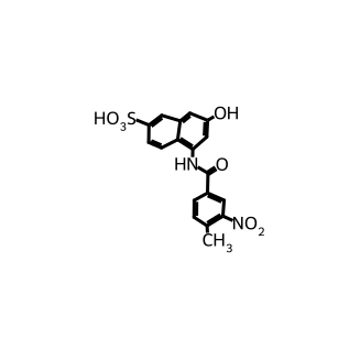 Cc1ccc(C(=O)Nc2cc(O)cc3cc(S(=O)(=O)O)ccc23)cc1[N+](=O)[O-]